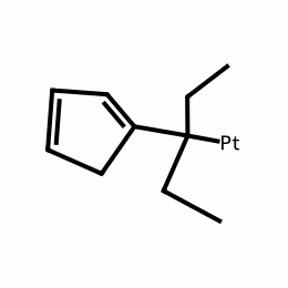 CC[C]([Pt])(CC)C1=CC=CC1